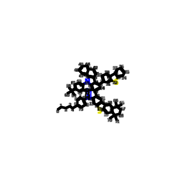 CCCCCc1ccc(Nc2cc3sc4cc5c(cc4c3cc2-c2cc(-c3ccc4c(c3)sc3ccccc34)c3c4ccc6ccccc6c4n4c3c2Bc2cc(C(C)(C)C)ccc2-4)C(C)(C)CCC5(C)C)cc1